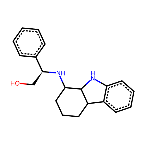 OC[C@H](NC1CCCC2c3ccccc3NC12)c1ccccc1